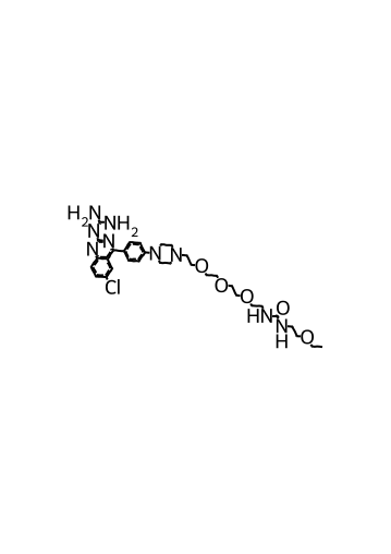 CCOCCNC(=O)NCCOCCOCCOCCN1CCN(c2ccc(-c3nc(N=C(N)N)nc4ccc(Cl)cc34)cc2)CC1